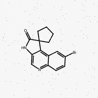 O=C1Nc2cnc3ccc(Br)cc3c2C12CCCC2